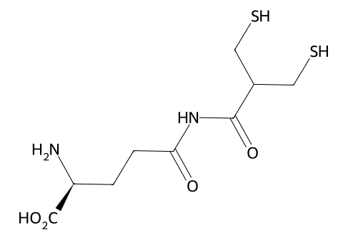 N[C@@H](CCC(=O)NC(=O)C(CS)CS)C(=O)O